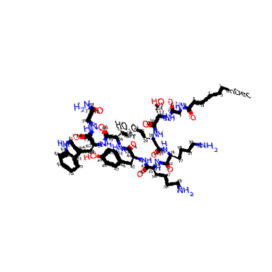 CCCCCCCCCCCCCCCC(=O)NCC(=O)N[C@@H](CO)C(=O)N[C@@H](CCC(=O)O)C(=O)N[C@@H](CCCCN)C(=O)N[C@@H](CCCCN)C(=O)N[C@@H](Cc1ccc(O)cc1)C(=O)N[C@@H](CC(C)C)C(=O)N[C@@H](Cc1c[nH]c2ccccc12)C(=O)NCC(N)=O